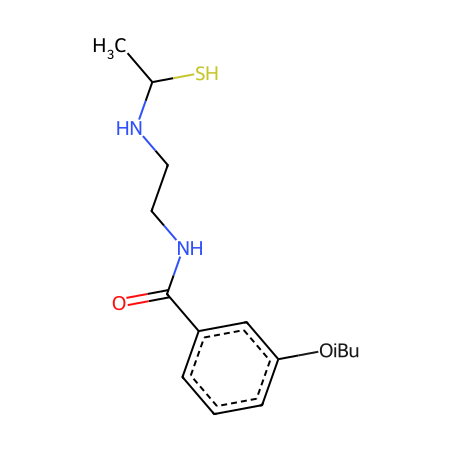 CC(C)COc1cccc(C(=O)NCCNC(C)S)c1